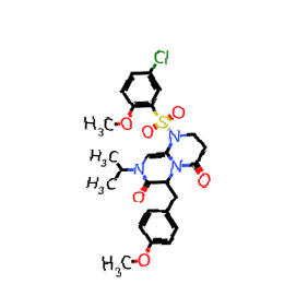 COc1ccc(CC2C(=O)N(C(C)C)C=C3N2C(=O)CCN3S(=O)(=O)c2cc(Cl)ccc2OC)cc1